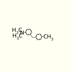 Cc1ccc(Cc2cccc(N(C)C)c2)cc1